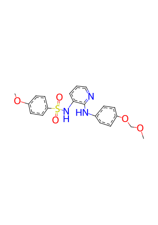 COCOc1ccc(Nc2ncccc2NS(=O)(=O)c2ccc(OC)cc2)cc1